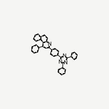 c1ccc(-c2nc(-c3ccccc3)nc(-c3ccc(-c4cc(-c5ccccc5)c5c(ccc6ccccc65)n4)cc3)n2)cc1